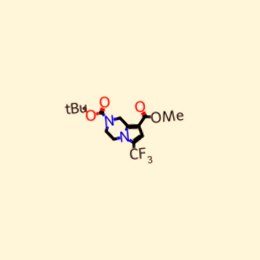 COC(=O)c1cc(C(F)(F)F)n2c1CN(C(=O)OC(C)(C)C)CC2